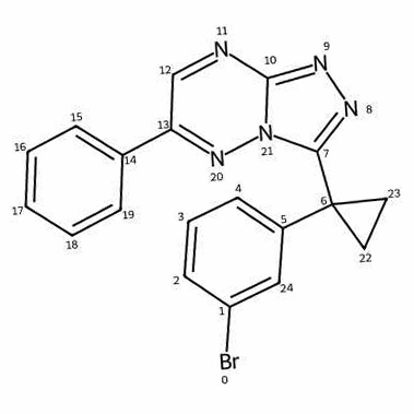 Brc1cccc(C2(c3nnc4ncc(-c5ccccc5)nn34)CC2)c1